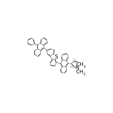 C=N/C=C(\C=C/C)c1c2ccccc2c(-c2cccc3c2sc2ccc(-c4c5ccccc5c(-c5ccccc5)c5ccccc45)cc23)c2ccccc12